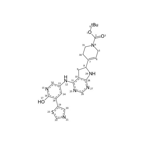 CC(C)(C)OC(=O)N1CC=C(C2Cc3c(Nc4cnc(O)c(-c5cncs5)c4)ncnc3N2)CC1